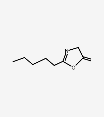 C=C1CN=C(CCCCC)O1